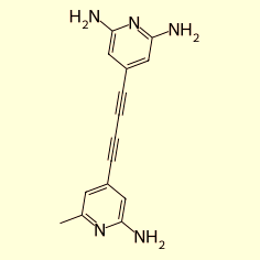 Cc1cc(C#CC#Cc2cc(N)nc(N)c2)cc(N)n1